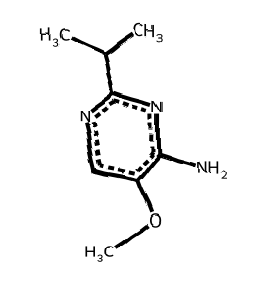 COc1cnc(C(C)C)nc1N